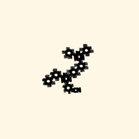 N#Cc1cccc(-c2nc(-c3ccc(-c4cccc(-c5nc(-c6ccccc6)nc(-c6ccccc6)n5)c4)cc3)nc(-c3cccc(-c4ccccc4)c3)n2)c1